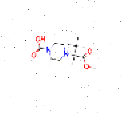 COC(=O)C(C)(N1CCN(C(=O)O)CC1)C(C)(C)C